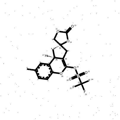 Cc1ccc2c(c1)[C@H]1C[C@@]3(COC(=O)O3)CC1=C(OS(=O)(=O)C(F)(F)F)O2